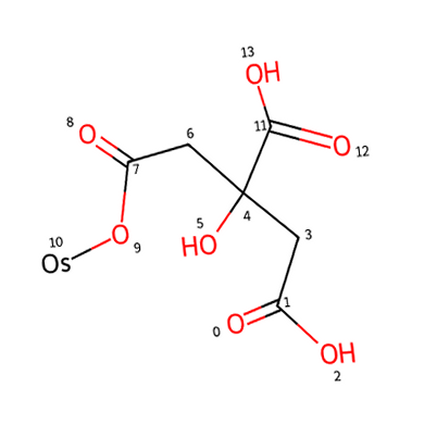 O=C(O)CC(O)(CC(=O)[O][Os])C(=O)O